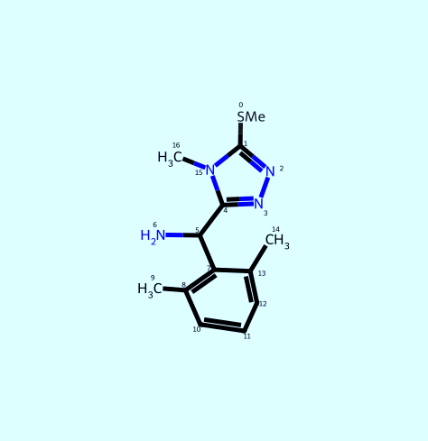 CSc1nnc(C(N)c2c(C)cccc2C)n1C